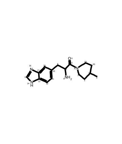 CC1CCN(C(=O)C(N)Cc2ccc3[nH]cnc3c2)CC1